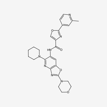 Cc1cc(-c2nc(C(=O)Nc3cc4oc(N5CCOCC5)nc4nc3N3CCCCC3)co2)ccn1